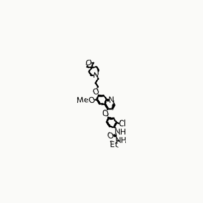 CCNC(=O)Nc1ccc(Oc2ccnc3cc(OCCCN4CCC5(CC4)COC5)c(OC)cc23)cc1Cl